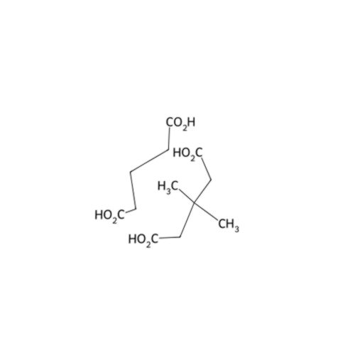 CC(C)(CC(=O)O)CC(=O)O.O=C(O)CCCC(=O)O